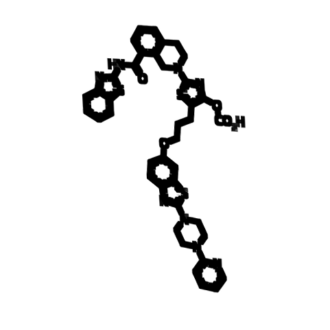 O=C(O)Oc1nc(N2CCc3cccc(C(=O)Nc4nc5ccccc5s4)c3C2)sc1CCCOc1ccc2nc(N3CCN(c4ccccn4)CC3)sc2c1